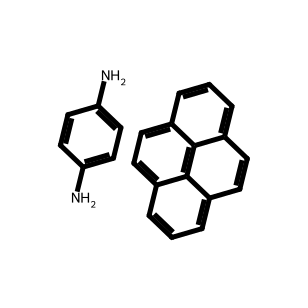 Nc1ccc(N)cc1.c1cc2ccc3cccc4ccc(c1)c2c34